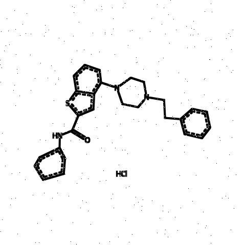 Cl.O=C(Nc1ccccc1)c1cc2c(N3CCN(CCc4ccccc4)CC3)cccc2s1